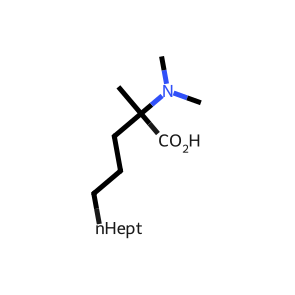 CCCCCCCCCCC(C)(C(=O)O)N(C)C